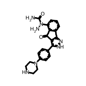 NC(=O)N(N)c1cccc2c1C(=O)c1c-2n[nH]c1-c1ccc(N2CCNCC2)cc1